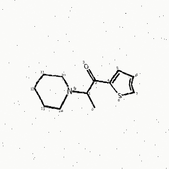 CC(C(=O)c1cccs1)N1CCCCC1